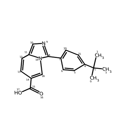 CC(C)(C)c1ccc(-c2ncc3ccc(C(=O)O)cn23)cc1